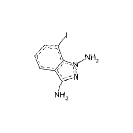 Nc1nn(N)c2c(I)cccc12